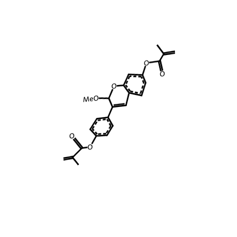 C=C(C)C(=O)Oc1ccc(C2=Cc3ccc(OC(=O)C(=C)C)cc3OC2OC)cc1